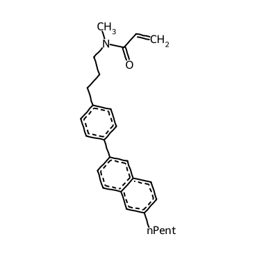 C=CC(=O)N(C)CCCc1ccc(-c2ccc3cc(CCCCC)ccc3c2)cc1